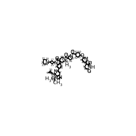 CC(C)n1cnc2cc(-c3ccc4c(c3)N(C3CC(N5CCCCC5)C3)C(=O)C43CCN(C(=O)[C@]4(C)CCN(C(=O)C5CCC(Oc6ccc(C7CCC(=O)NC7=O)cn6)CC5)C4)CC3)nc(NC3CC3)c21